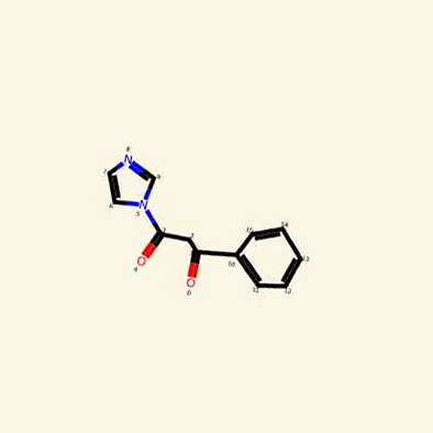 O=C(CC(=O)n1ccnc1)c1ccccc1